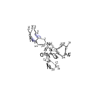 C/C=C1/C=C(Nc2nc(=O)n(-c3cncc(C)c3)c(=O)n2Cc2ccc(F)c(C)c2)C=C/C1=N/C(C)C